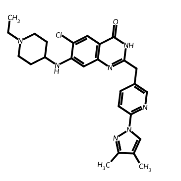 CCN1CCC(Nc2cc3nc(Cc4ccc(-n5cc(C)c(C)n5)nc4)[nH]c(=O)c3cc2Cl)CC1